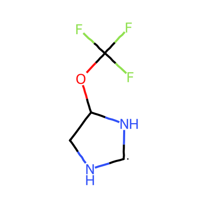 FC(F)(F)OC1CN[CH]N1